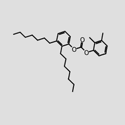 CCCCCCCc1cccc(OC(=O)Oc2cccc(C)c2C)c1CCCCCCC